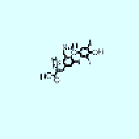 N[C@@H](Cc1cc(I)c(Oc2cc(I)c(O)c(I)c2)c(I)c1)C(=O)O.[NaH]